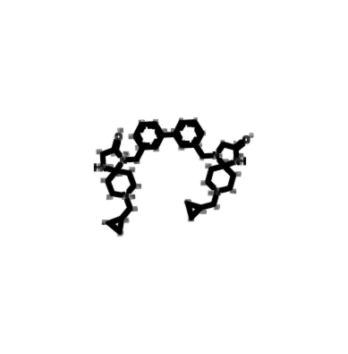 O=C1CN(Cc2cccc(-c3cccc(CN4C(=O)CNC45CCN(CC4CC4)CC5)c3)c2)C2(CCN(CC3CC3)CC2)N1